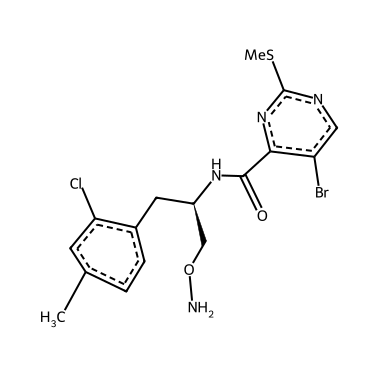 CSc1ncc(Br)c(C(=O)N[C@@H](CON)Cc2ccc(C)cc2Cl)n1